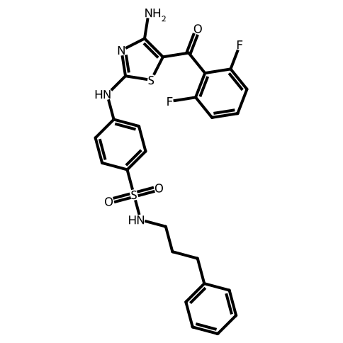 Nc1nc(Nc2ccc(S(=O)(=O)NCCCc3ccccc3)cc2)sc1C(=O)c1c(F)cccc1F